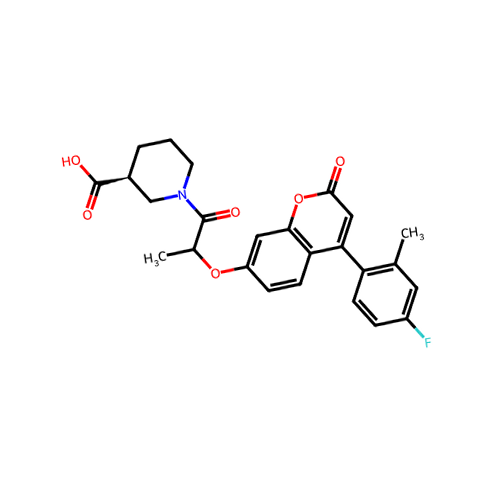 Cc1cc(F)ccc1-c1cc(=O)oc2cc(OC(C)C(=O)N3CCC[C@H](C(=O)O)C3)ccc12